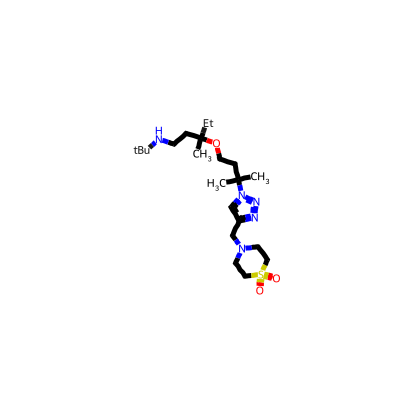 CCC(C)(CCNC(C)(C)C)OCCC(C)(C)n1cc(CN2CCS(=O)(=O)CC2)nn1